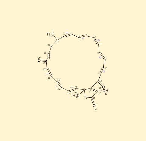 CC1\C=C/C=C/C=C\C=C\C=C\C(=O)C2=C(O)C(=O)CC2(C)/C=C/C=C\C=C/C(=O)NC1